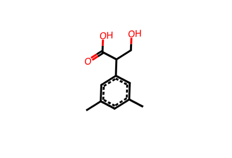 Cc1cc(C)cc(C(CO)C(=O)O)c1